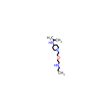 CCCNCCOCCN1CCC(NC(C)C)CC1